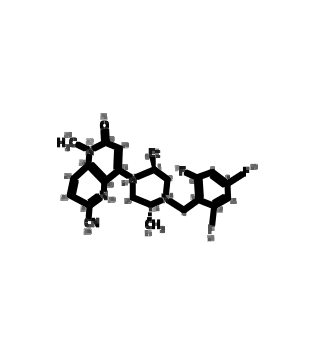 CC[C@H]1CN(Cc2c(F)cc(F)cc2F)[C@H](C)CN1c1cc(=O)n(C)c2ccc(C#N)nc12